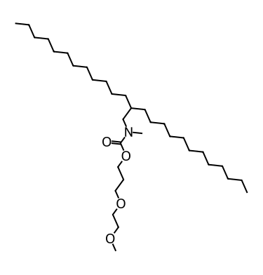 CCCCCCCCCCCCC(CCCCCCCCCCCC)CN(C)C(=O)OCCCOCCOC